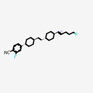 N#Cc1ccc([C@H]2CC[C@H](CC[C@H]3CC[C@H](/C=C/CCCF)CC3)CC2)cc1F